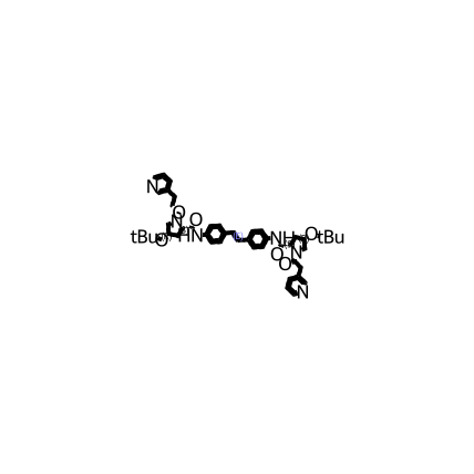 CC(C)(C)O[C@@H]1C[C@@H](C(=O)Nc2ccc(/C=C/c3ccc(NC(=O)[C@@H]4C[C@@H](OC(C)(C)C)CN4C(=O)Cc4cccnc4)cc3)cc2)N(OCCc2cccnc2)C1